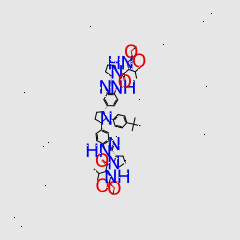 COC(=O)NC(C(=O)N1CCC[C@H]1c1nc2cc([C@H]3CC[C@H](c4ccc5[nH]c([C@@H]6CCCN6C(=O)[C@@H](NC(=O)OC)C(C)C)nc5c4)N3c3ccc(C(C)(C)C)cc3)ccc2[nH]1)C(C)C